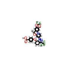 COC(=O)c1ccc(OC2CCCc3c(C(F)(F)F)nn(-c4ccnc(O[C@@H](C)c5ccc6c(c5)OC(F)(F)O6)c4)c32)cc1